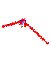 COCCOCCOCCOCCOCCOCCOCCOCCOCCOCCOCCN(CCC(=O)N[C@H](C(=O)N[C@@H](C)C(=O)Nc1ccc(COC(=O)C(C)(C)S)c(CCCOCCOCCOCCOCCOCCOCCOCCOCCOCCOCOCCOCCOCCOCCOCCOCCOC)c1)C(C)C)C(=O)CN1C(=O)C=CC1=O